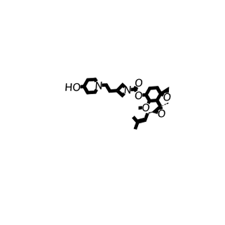 COC1C(OC(=O)N2CC(CCN3CCC(O)CC3)C2)CCC2(CO2)C1[C@@]1(C)O[C@@H]1CC=C(C)C